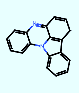 [CH]1C=Cc2nc3ccccc3n3c2c1c1ccccc13